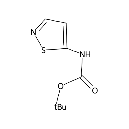 CC(C)(C)OC(=O)Nc1ccns1